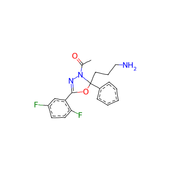 CC(=O)N1N=C(c2cc(F)ccc2F)OC1(CCCN)c1ccccc1